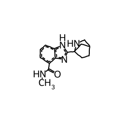 CNC(=O)c1cccc2[nH]c(C34CCC(CN3)C4)nc12